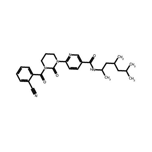 CC(C)CC(C)CC(C)NC(=O)c1ccc(N2CCCN(C(=O)c3ccccc3C#N)C2=O)nc1